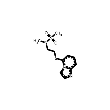 CN(CCSc1cccc2nccn12)S(C)(=O)=O